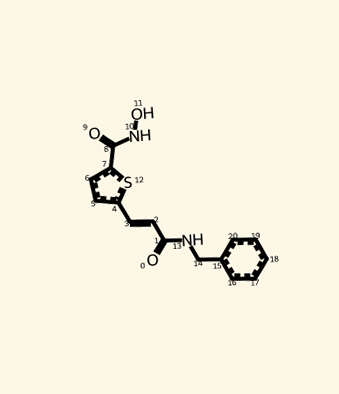 O=C(/C=C/c1ccc(C(=O)NO)s1)NCc1ccccc1